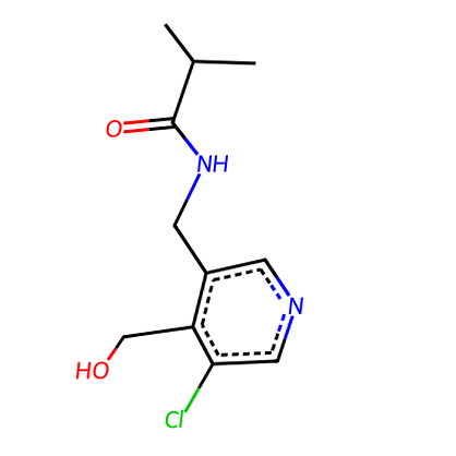 CC(C)C(=O)NCc1cncc(Cl)c1CO